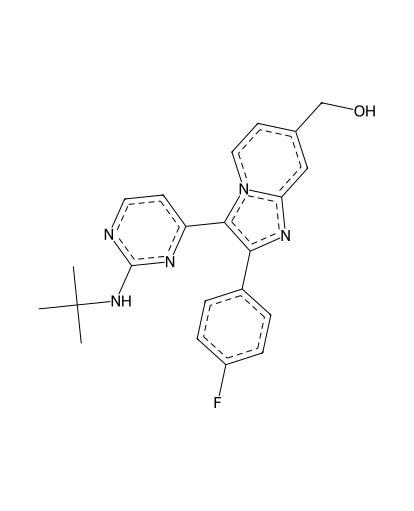 CC(C)(C)Nc1nccc(-c2c(-c3ccc(F)cc3)nc3cc(CO)ccn23)n1